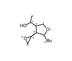 CCC(C)C1OCC(C(C)O)C1C1CO1